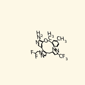 Cc1ccc2c(c1)[C@@H](C)Oc1cc(cnc1N)-c1c(cnn1CC(F)F)Cc1cc(C(F)(F)F)nn1-2